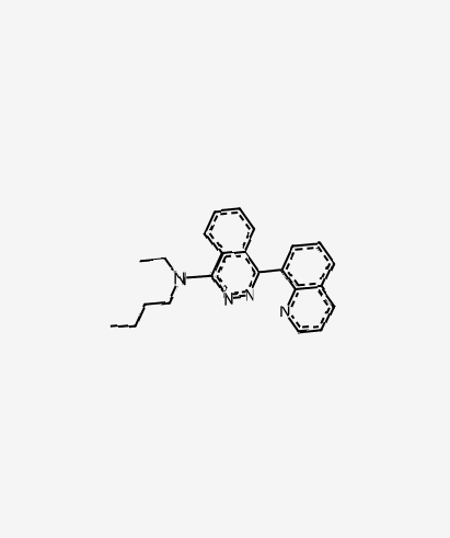 CCCCN(CC)c1nnc(-c2cccc3cccnc23)c2ccccc12